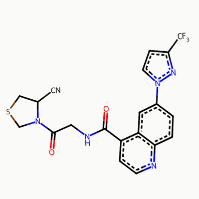 N#CC1CSCN1C(=O)CNC(=O)c1ccnc2ccc(-n3ccc(C(F)(F)F)n3)cc12